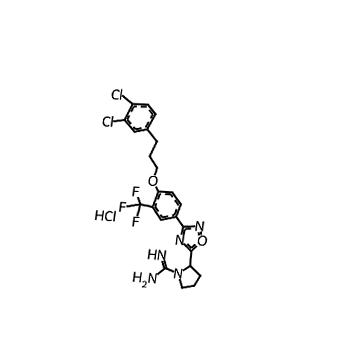 Cl.N=C(N)N1CCCC1c1nc(-c2ccc(OCCCc3ccc(Cl)c(Cl)c3)c(C(F)(F)F)c2)no1